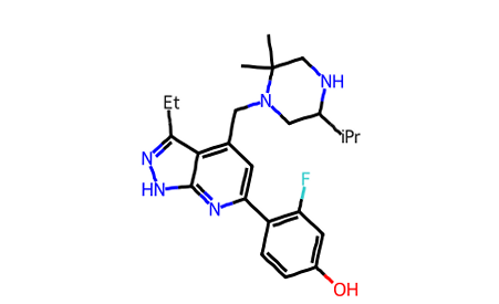 CCc1n[nH]c2nc(-c3ccc(O)cc3F)cc(CN3CC(C(C)C)NCC3(C)C)c12